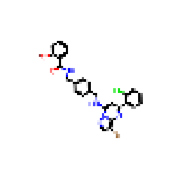 COc1ccccc1C(=O)NCc1ccc(CNc2cc(-c3ccccc3Cl)nc3c(Br)cnn23)cc1